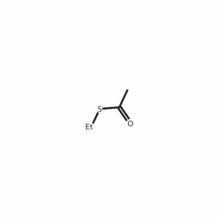 CCSC(C)=O